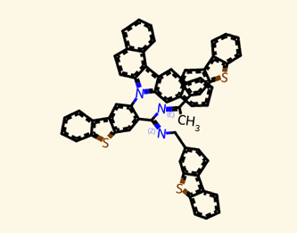 C/C(=N\C(=N/Cc1ccc2c(c1)sc1ccccc12)c1cc2sc3ccccc3c2cc1-n1c2cc3ccccc3cc2c2c3ccccc3ccc21)c1ccc2c(c1)sc1ccccc12